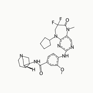 COc1cc(C(=O)N[C@H]2CN3CCC2CC3)ccc1Nc1ncc2c(n1)N(C1CCCC1)CC(F)(F)C(=O)N2C